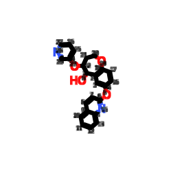 OC1c2cc(Oc3ccc4ccccc4n3)ccc2OCCC1Oc1cccnc1